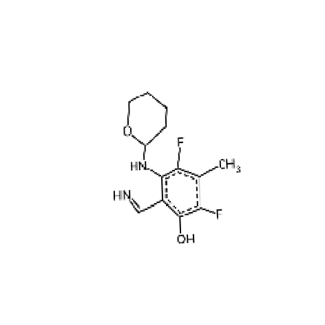 Cc1c(F)c(O)c(C=N)c(NC2CCCCO2)c1F